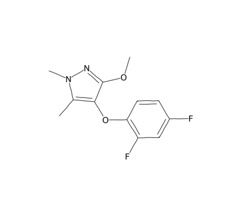 COc1nn(C)c(C)c1Oc1ccc(F)cc1F